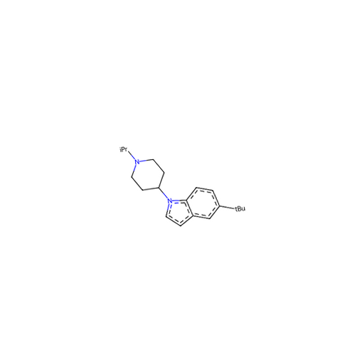 CC(C)N1CCC(n2ccc3cc(C(C)(C)C)ccc32)CC1